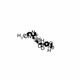 COc1ccc2ncc(F)c(CNC[C@H](O)C[C@@H]3CN(c4ccc5c(c4)NC(=O)CO5)C(=O)O3)c2n1